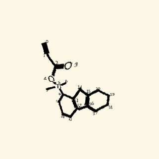 C#CC(=O)[O][Ti]([CH3])([CH3])[CH]1CCCC2=C1CC1=C2CCCC1